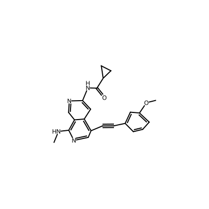 CNc1ncc(C#Cc2cccc(OC)c2)c2cc(NC(=O)C3CC3)ncc12